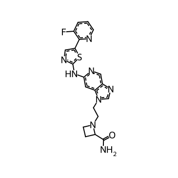 NC(=O)C1CCN1CCn1cnc2cnc(Nc3ncc(-c4ncccc4F)s3)cc21